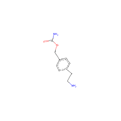 NCCc1ccc(COC(N)=O)cc1